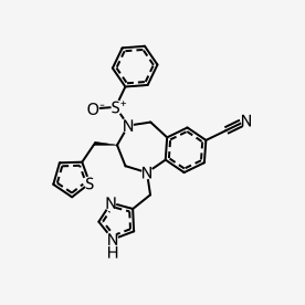 N#Cc1ccc2c(c1)CN([S+]([O-])c1ccccc1)[C@H](Cc1cccs1)CN2Cc1c[nH]cn1